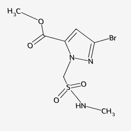 CNS(=O)(=O)Cn1nc(Br)cc1C(=O)OC